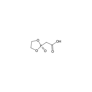 O=C(O)CP1(=O)OCCO1